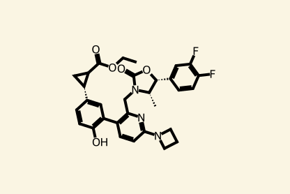 CCOC(=O)C1C[C@H]1c1ccc(O)c(-c2ccc(N3CCC3)nc2CN2C(=O)O[C@H](c3ccc(F)c(F)c3)[C@@H]2C)c1